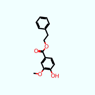 COc1cc(C(=O)OCCc2ccccc2)ccc1O